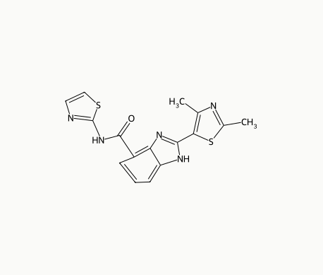 Cc1nc(C)c(-c2nc3c(C(=O)Nc4nccs4)cccc3[nH]2)s1